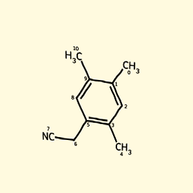 Cc1cc(C)c(CC#N)cc1C